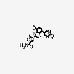 COc1ncc(-c2ccc(OC)c3nc(N4C=C(C(N)=O)OC4C)cnc23)cn1